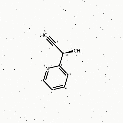 C#C[C@@H](C)c1ccccn1